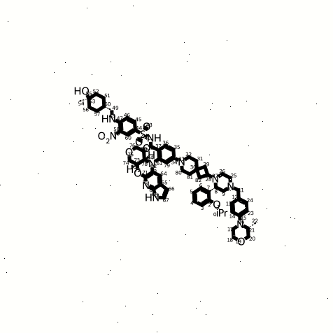 CC(C)Oc1ccccc1[C@H]1CN(Cc2ccc(N3CCOC[C@H]3C)cc2)CCN1C1CC2(CCN(c3ccc(C(=O)NS(=O)(=O)c4ccc(NC[C@H]5CC[C@](C)(O)CC5)c([N+](=O)[O-])c4)c(N4c5cc6cc[nH]c6nc5O[C@H]5COCC[C@@H]54)c3)CC2)C1